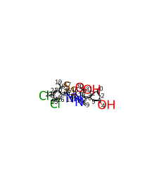 Cc1cc(O)cc(-c2c(C)nn(-c3nc4c(s3)SC(C)c3cc(Cl)c(Cl)cc3-4)c2C(=O)O)c1